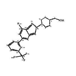 OCC1CCC(n2cc3cc(-c4cccc(C(F)(F)F)n4)cc(F)c3n2)CC1